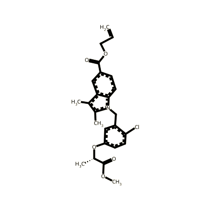 C=CCOC(=O)c1ccc2c(c1)c(C)c(C)n2Cc1cc(O[C@@H](C)C(=O)OC)ccc1Cl